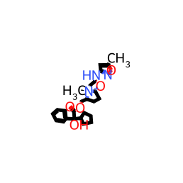 Cc1cc(NC(=O)C[N@@+]2(C)CCCC2COC(=O)C(O)(c2ccccc2)C2CCCC2)no1